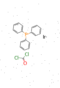 O=C(Cl)Cl.[Ir].c1ccc(P(c2ccccc2)c2ccccc2)cc1